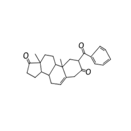 CC12CCC3C(CC=C4CC(=O)C(C(=O)c5ccccc5)CC43C)C1CCC2=O